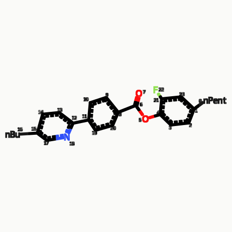 CCCCCc1ccc(OC(=O)c2ccc(-c3ccc(CCCC)cn3)cc2)c(F)c1